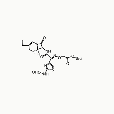 C=CC1=CN2C(=O)C(NC(=O)C(=NOCC(=O)OC(C)(C)C)c3csc(NC=O)n3)[C@@H]2SC1